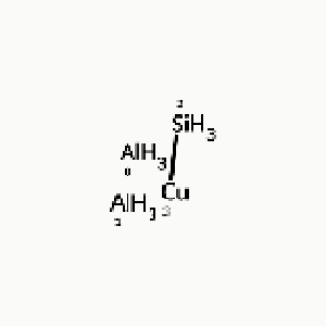 [AlH3].[AlH3].[SiH3][Cu]